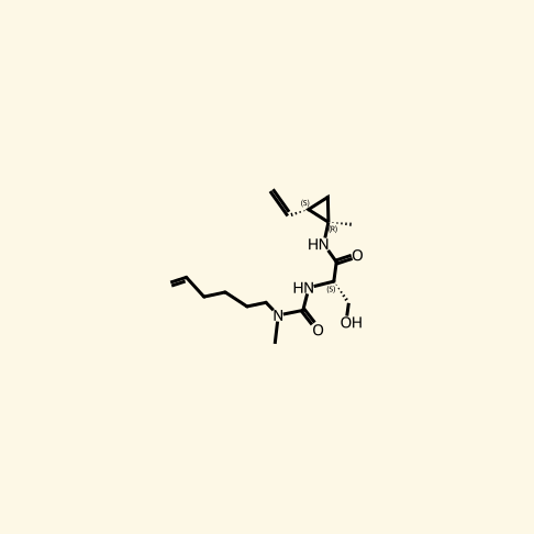 C=CCCCCN(C)C(=O)N[C@@H](CO)C(=O)N[C@]1(C)C[C@H]1C=C